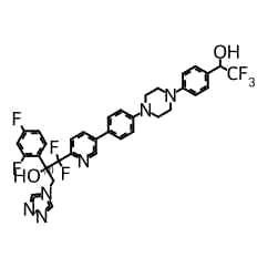 OC(c1ccc(N2CCN(c3ccc(-c4ccc(C(F)(F)[C@](O)(Cn5cnnc5)c5ccc(F)cc5F)nc4)cc3)CC2)cc1)C(F)(F)F